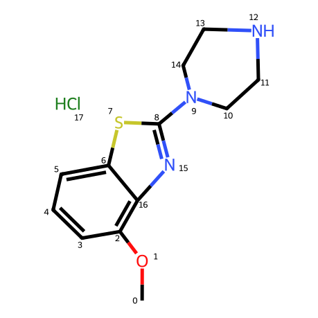 COc1cccc2sc(N3CCNCC3)nc12.Cl